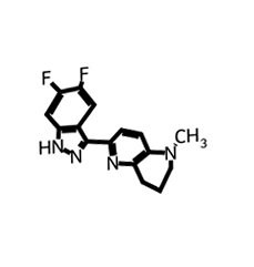 CN1CCCc2nc(-c3n[nH]c4cc(F)c(F)cc34)ccc21